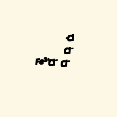 [Cl-].[Cl-].[Cl-].[Cl].[Fe+3]